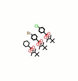 CC1OC2(C3CCCCC3)OCC1(C(C)(C)C)CO2.CC1OC2(c3ccc(Br)cc3)OCC1(C(C)(C)C)CO2.CC1OC2(c3ccc(Cl)cc3)OCC1(C(C)(C)C)CO2